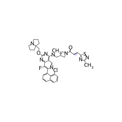 Cc1nsc(/C=C/C(=O)N2CC(CN(C)c3nc(OCC45CCCN4CCC5)nc4c(F)c(-c5cccc6cccc(Cl)c56)ncc34)C2)n1